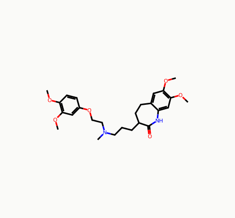 COc1ccc(OCCN(C)CCCC2CCc3cc(OC)c(OC)cc3NC2=O)cc1OC